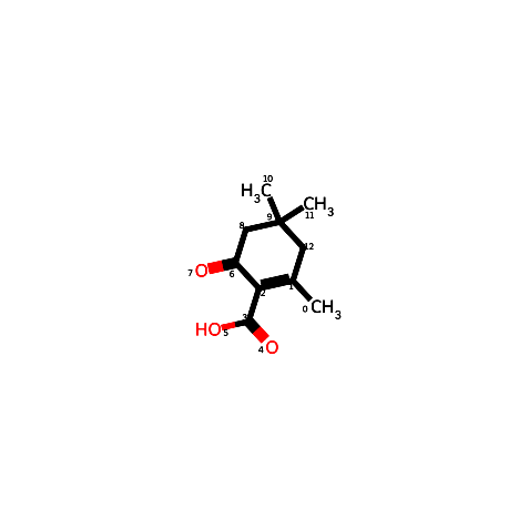 CC1=C(C(=O)O)C(=O)CC(C)(C)C1